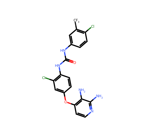 Nc1nccc(Oc2ccc(NC(=O)Nc3ccc(Cl)c(C(F)(F)F)c3)c(Cl)c2)c1N